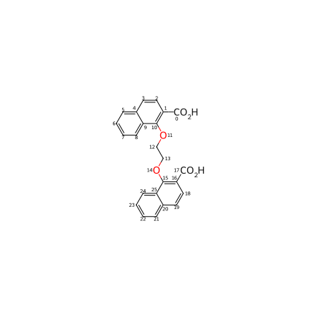 O=C(O)c1ccc2ccccc2c1OCCOc1c(C(=O)O)ccc2ccccc12